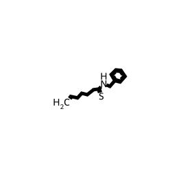 C=CCCCCC(=S)NCc1ccccc1